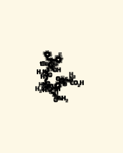 C[C@H](NC(=O)CCNC(=O)[C@@H](N)CCN(C(=O)CO)[C@@H](c1nc(-c2cc(F)ccc2F)cn1Cc1ccccc1)C(C)(C)C)C(=O)N[C@@H](CCCNC(N)=O)C(=O)Nc1ccc(N2C(=O)CC(SC[C@H](N)C(=O)O)C2=O)cc1